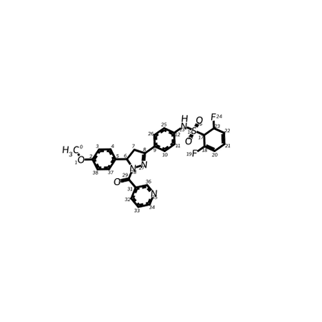 COc1ccc(C2CC(c3ccc(NS(=O)(=O)C4C(F)=CC=CC4F)cc3)=NN2C(=O)c2cccnc2)cc1